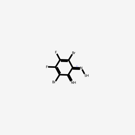 N=C1C(Br)=C(F)C(F)=C(Br)/C1=N/S